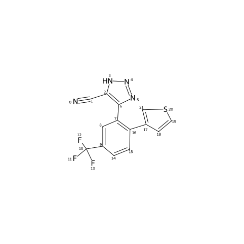 N#Cc1[nH]nnc1-c1cc(C(F)(F)F)ccc1-c1ccsc1